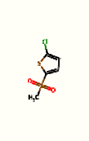 CS(=O)(=O)c1c[c]c(Cl)s1